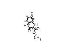 CCOC(=O)C1Nc2cc(F)ccc2NC1=O